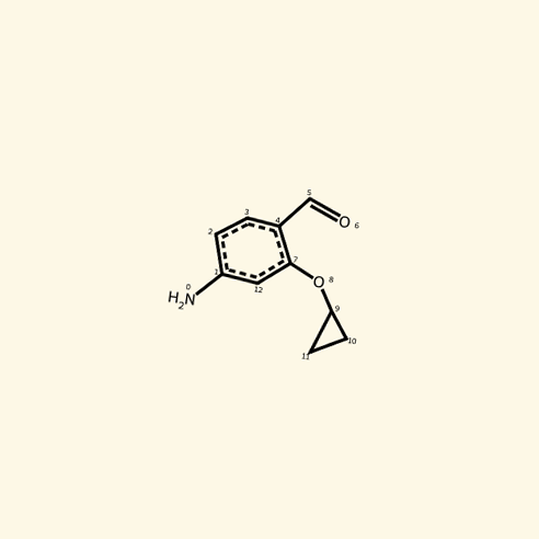 Nc1ccc(C=O)c(OC2CC2)c1